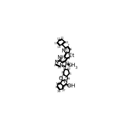 CC/C=C(\C=C1/CC=CC(c2ccccc2)=N1)C1=C2C(N)=NC=CN2C([C@H]2CC[C@H](CN3C(=O)c4ccccc4C3O)CC2)N1C